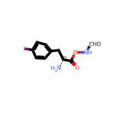 N[C@H](Cc1ccc(I)cc1)C(=O)ONC=O